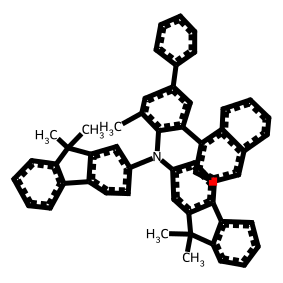 Cc1cc(-c2ccccc2)cc(-c2cccc3ccccc23)c1N(c1ccc2c(c1)C(C)(C)c1ccccc1-2)c1ccc2c(c1)C(C)(C)c1ccccc1-2